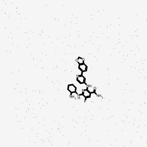 NC(=O)c1cc(F)c(NC2CCCCC2N)nc1Nc1ccnc(-c2ccc3c(c2)OCO3)c1